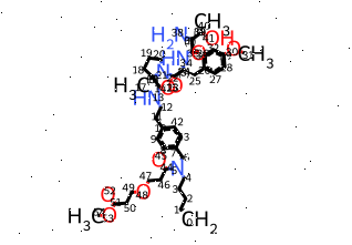 C=CCCCN(Cc1ccc(CCNC(=O)[C@]2(C)CCCN2C(=O)[C@H](Cc2ccc(OC)cc2)NC(=O)[C@@H](N)[C@@H](C)O)cc1)C(=O)CCOCCC(=O)OC